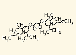 CCCCCN1C(C(C)C)CC(OC(=O)CC(=O)OC2CC(C(C)C)N(CCCCC)C(C(C)C)C2)CC1C(C)C